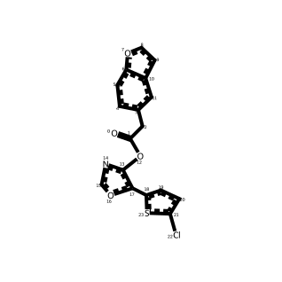 O=C(Cc1ccc2occc2c1)Oc1ncoc1-c1ccc(Cl)s1